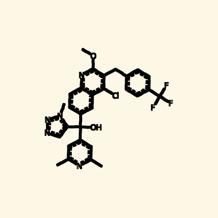 COc1nc2ccc(C(O)(c3cc(C)nc(C)c3)c3cnnn3C)cc2c(Cl)c1Cc1ccc(C(F)(F)F)cc1